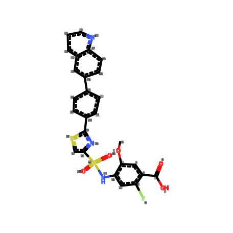 COc1cc(C(=O)O)c(F)cc1NS(=O)(=O)c1csc(-c2ccc(-c3ccc4ncccc4c3)cc2)n1